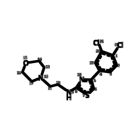 Clc1ccc(-c2csc(NCCN3CCOCC3)n2)cc1Cl